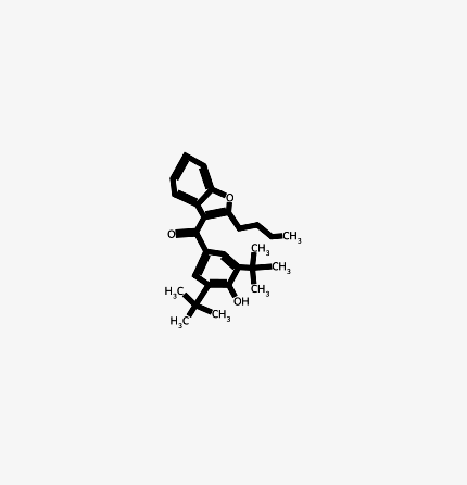 CCCCc1oc2ccccc2c1C(=O)c1cc(C(C)(C)C)c(O)c(C(C)(C)C)c1